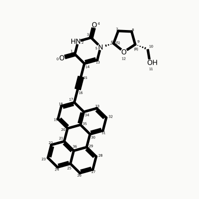 O=c1[nH]c(=O)n([C@@H]2CC[C@H](CO)O2)cc1C#Cc1ccc2c3cccc4cccc(c5cccc1c52)c43